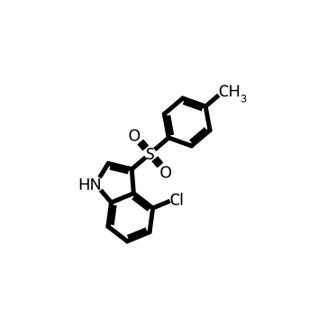 Cc1ccc(S(=O)(=O)c2c[nH]c3cccc(Cl)c23)cc1